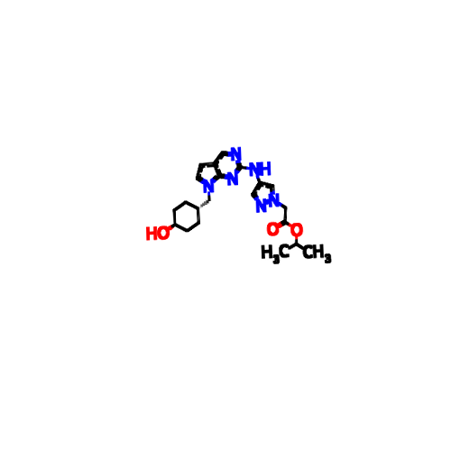 CC(C)OC(=O)Cn1cc(Nc2ncc3ccn(C[C@H]4CC[C@H](O)CC4)c3n2)cn1